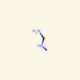 CN[C]N